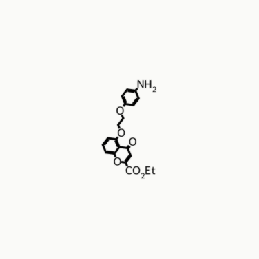 CCOC(=O)c1cc(=O)c2c(OCCOc3ccc(N)cc3)cccc2o1